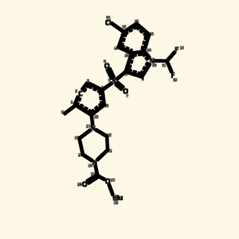 Cc1ccc(S(=O)(=O)c2cn(C(F)F)c3ccc(Cl)cc23)cc1N1CCN(C(=O)OC(C)(C)C)CC1